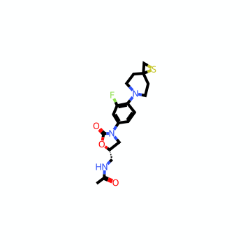 CC(=O)NC[C@H]1CN(c2ccc(N3CCC4(CC3)CS4)c(F)c2)C(=O)O1